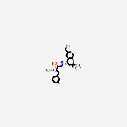 CC(=O)N[C@@H](Cc1cccc(F)c1)[C@@H](O)CN[C@H]1CC(C)(C)Oc2cnc(CC(C)(C)C)cc21